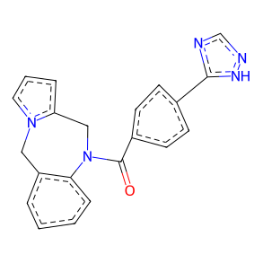 O=C(c1ccc(-c2ncn[nH]2)cc1)N1Cc2cccn2Cc2ccccc21